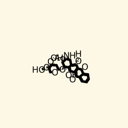 CC(=O)[C@]1(N)Cc2c(O)c3c(c(O)c2[C@@H](O[C@H]2C[C@H](OO)[C@H](OO)CO2)C1)C(=O)c1ccccc1C3=O